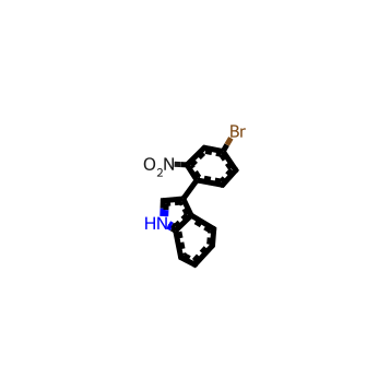 O=[N+]([O-])c1cc(Br)ccc1-c1c[nH]c2ccccc12